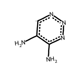 Nc1[c]nnnc1N